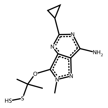 Cn1nc2c(N)nc(C3CC3)nc2c1OC(C)(C)SS